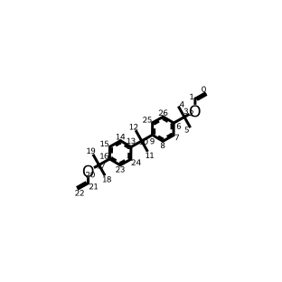 C=COC(C)(C)c1ccc(C(C)(C)c2ccc(C(C)(C)OC=C)cc2)cc1